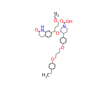 CCc1ccc(OCCCCOc2ccc(C3CCN(C(=O)O)CC3OC(CCCOC)c3ccc4c(c3)NC(=O)CC4)cc2)cc1